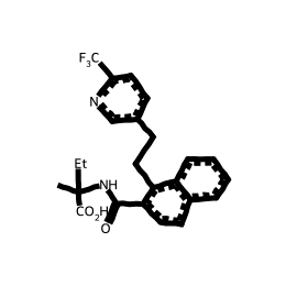 CCC(C)(NC(=O)c1ccc2ccccc2c1CCc1ccc(C(F)(F)F)nc1)C(=O)O